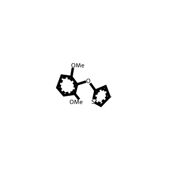 COc1cccc(OC)c1Oc1c[c]cs1